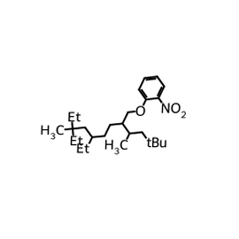 CCC(CCC(COc1ccccc1[N+](=O)[O-])C(C)CC(C)(C)C)CC(C)(CC)CC